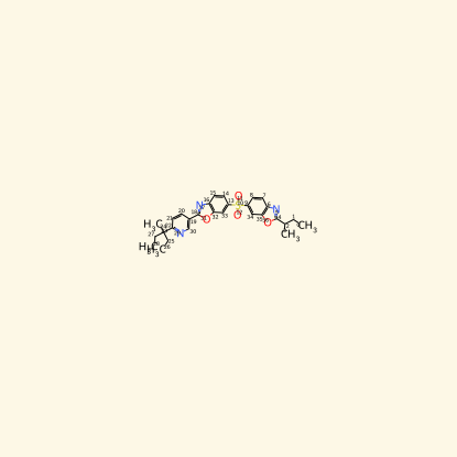 CCC(C)c1nc2ccc(S(=O)(=O)c3ccc4nc(-c5ccc(C(C)(CC)CC)nc5)oc4c3)cc2o1